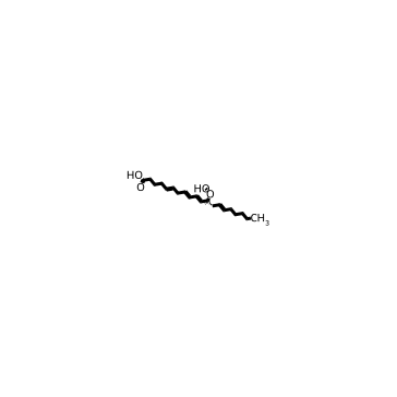 CCCCCC=CC[C@H](C=CC=CCC=CCCCC(=O)O)OO